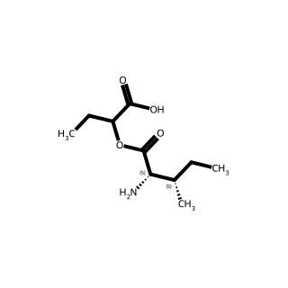 CCC(OC(=O)[C@@H](N)[C@@H](C)CC)C(=O)O